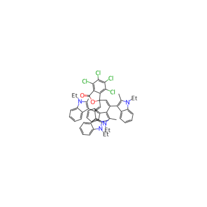 CCn1c(C)c(C(=CC2(C=C(c3c(C)n(CC)c4ccccc34)c3c(C)n(CC)c4ccccc34)OC(=O)c3c(Cl)c(Cl)c(Cl)c(Cl)c32)c2c(C)n(CC)c3ccccc23)c2ccccc21